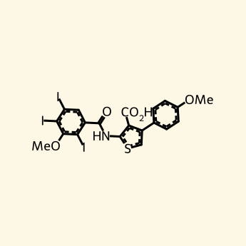 COc1ccc(-c2csc(NC(=O)c3cc(I)c(I)c(OC)c3I)c2C(=O)O)cc1